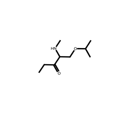 CCC(=O)C(COC(C)C)NC